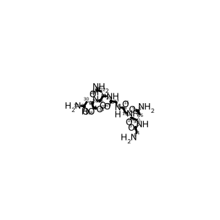 NCC(=O)N[C@@H](CC(N)=O)C(=O)NCC(=O)NCC(=O)N[C@@H](CC(N)=O)C(=O)N[C@@H](CC(N)=O)C(=O)O